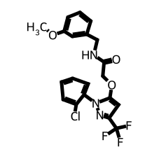 COc1cccc(CNC(=O)COc2cc(C(F)(F)F)nn2-c2ccccc2Cl)c1